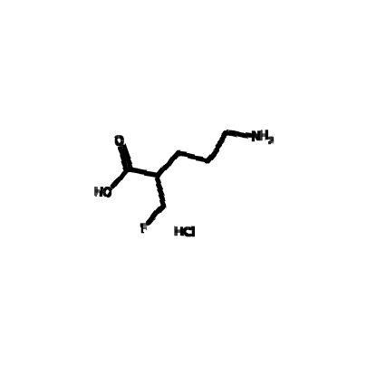 Cl.NCCCC(CF)C(=O)O